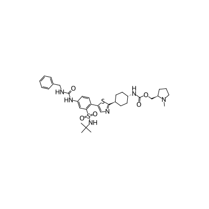 CN1CCC[C@@H]1COC(=O)N[C@H]1CC[C@H](c2ncc(-c3ccc(NC(=O)NCc4ccccc4)cc3S(=O)(=O)NC(C)(C)C)s2)CC1